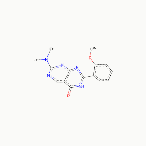 CCCOc1ccccc1-c1nc2nc(N(CC)CC)ncc2c(=O)[nH]1